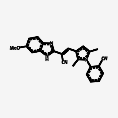 COc1ccc2nc(/C(C#N)=C/c3cc(C)n(-c4ccccc4C#N)c3C)[nH]c2c1